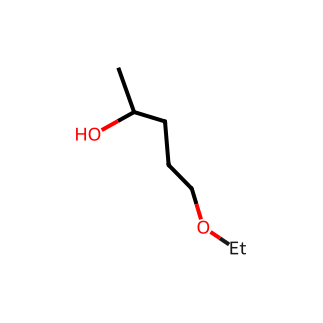 CCOCCCC(C)O